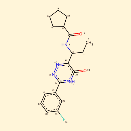 CCC(NC(=O)C1CCCC1)c1nnc(-c2cccc(F)c2)[nH]c1=O